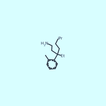 CCC(CCN)(CCC(C)C)c1ccccc1C